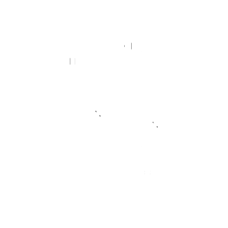 CC(C)c1cnc2occc2n1